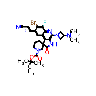 CN(C)C1CN(c2nc3c(F)c(Br)c(/C=C/C#N)cc3c3c2NC(=O)C32CCCN(C(=O)OC(C)(C)C)C2)C1